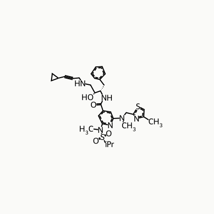 Cc1csc(CN(C)c2cc(C(=O)N[C@@H](Cc3ccccc3)[C@H](O)CNCC#CC3CC3)cc(N(C)S(=O)(=O)C(C)C)n2)n1